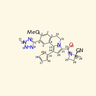 COc1cc2c(cc1-c1nnn(C)n1)-c1c(-c3cccs3)cc(C(=O)N3CC[C@]3(C)C#N)n1CC2